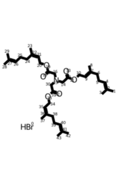 Br.CC(C)=CCCC(C)=CCOC(=O)CN(CC(=O)OCC=C(C)CCC=C(C)C)CC(=O)OCC=C(C)CCC=C(C)C